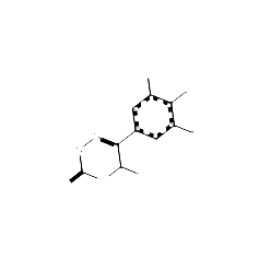 CC1OC(=O)NN=C1c1cc(F)c(F)c(F)c1